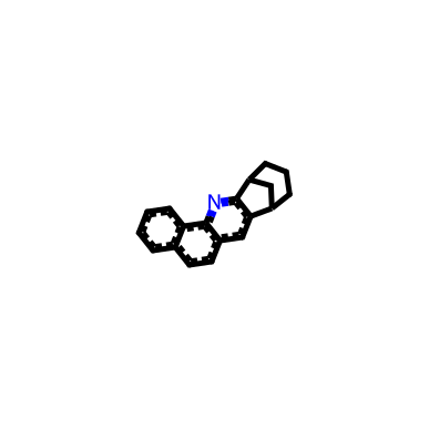 c1ccc2c(c1)ccc1cc3c(nc12)C1CCCC3C1